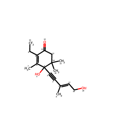 CC(C#CC1(O)C(C)=C(CC(F)(F)F)C(=O)CC1(C)C)=CCO